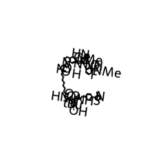 CNC(=O)c1c(F)cccc1Nc1nc(Nc2cc3c(cc2OC)CCN3C(=O)CN(C)C(=O)CCCCCCCC(=O)NC(C(=O)N2C[C@H](O)C[C@H]2C(=O)NCc2ccc(-c3scnc3C)cc2)C(C)(C)C)nc2[nH]ccc12